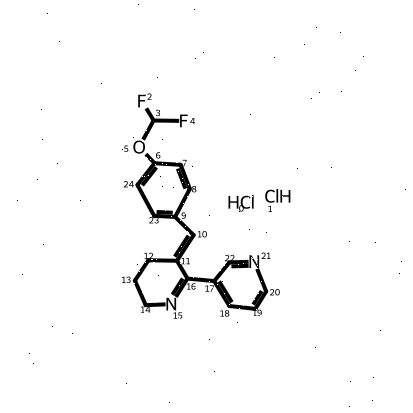 Cl.Cl.FC(F)Oc1ccc(C=C2CCCN=C2c2cccnc2)cc1